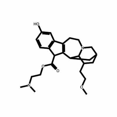 COCCC1CC2CC3C4=C(CCN(C2)C13)c1cc(O)ccc1C4C(=O)OCCN(C)C